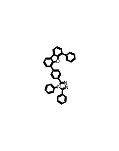 c1ccc(-c2cccc3c2oc2c(-c4ccc(-c5nnc(-c6ccccc6)n5-c5ccccc5)cc4)cccc23)cc1